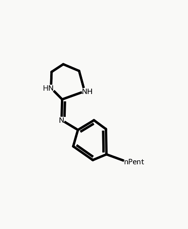 CCCCCc1ccc(N=C2NCCCN2)cc1